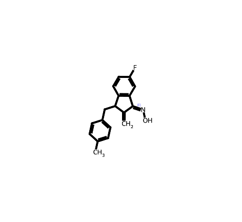 C=C1/C(=N\O)c2cc(F)ccc2C1Cc1ccc(C)cc1